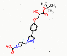 CC(C)(C)OC(=O)C(O)COc1ccc(-c2cnn(CC3(F)CN(C(=O)O)C3)c2)cc1